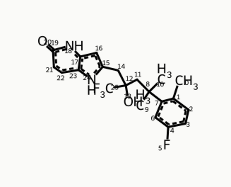 Cc1ccc(F)cc1C(C)(C)CC(O)(Cc1cc2[nH]c(=O)ccc2[nH]1)C(F)(F)F